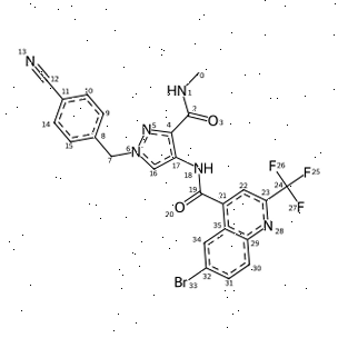 CNC(=O)c1nn(Cc2ccc(C#N)cc2)cc1NC(=O)c1cc(C(F)(F)F)nc2ccc(Br)cc12